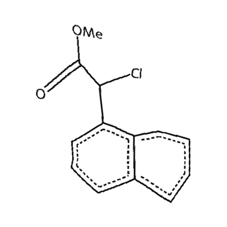 COC(=O)C(Cl)c1cccc2ccccc12